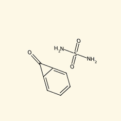 NS(N)(=O)=O.O=c1c2ccccc12